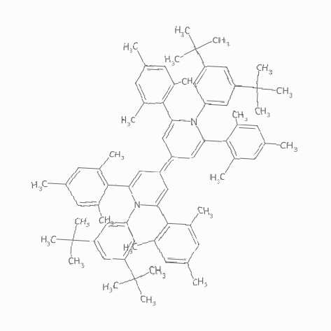 Cc1cc(C)c(C2=CC(=C3C=C(c4c(C)cc(C)cc4C)N(c4cc(C(C)(C)C)cc(C(C)(C)C)c4)C(c4c(C)cc(C)cc4C)=C3)C=C(c3c(C)cc(C)cc3C)N2c2cc(C(C)(C)C)cc(C(C)(C)C)c2)c(C)c1